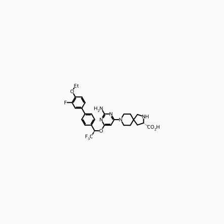 CCOc1ccc(-c2ccc([C@@H](Oc3cc(N4CCC5(CC4)CN[C@H](C(=O)O)C5)nc(N)n3)C(F)(F)F)cc2)cc1F